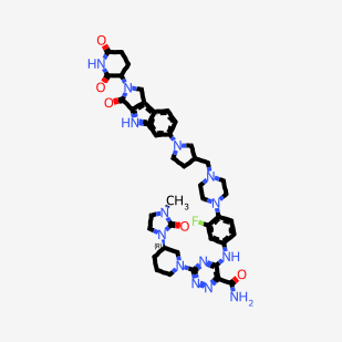 CN1CCN([C@@H]2CCCN(c3nnc(C(N)=O)c(Nc4ccc(N5CCN(CC6CCN(c7ccc8c9c([nH]c8c7)C(=O)N(C7CCC(=O)NC7=O)C9)C6)CC5)c(F)c4)n3)C2)C1=O